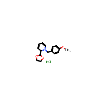 COc1ccc(CN2C=CC=CC2C2OCCO2)cc1.Cl